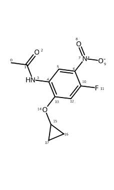 CC(=O)Nc1cc([N+](=O)[O-])c(F)cc1OC1CC1